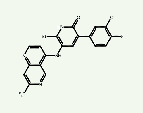 CCc1[nH]c(=O)c(-c2ccc(F)c(Cl)c2)cc1Nc1ccnc2cc(C(F)(F)F)ncc12